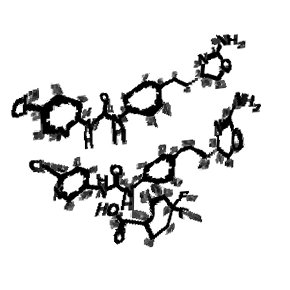 NC1=N[C@@H](CCc2ccc(NC(=O)Nc3ccc(Cl)cn3)cc2)CO1.NC1=N[C@@H](CCc2ccc(NC(=O)Nc3ccc(Cl)nc3)cc2)CO1.O=C(O)C1CCC(F)(F)CC1